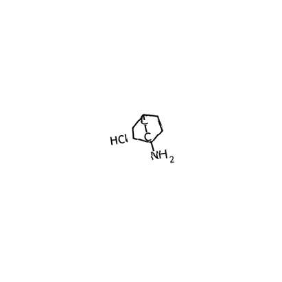 Cl.NC12CCC(CC1)CC2